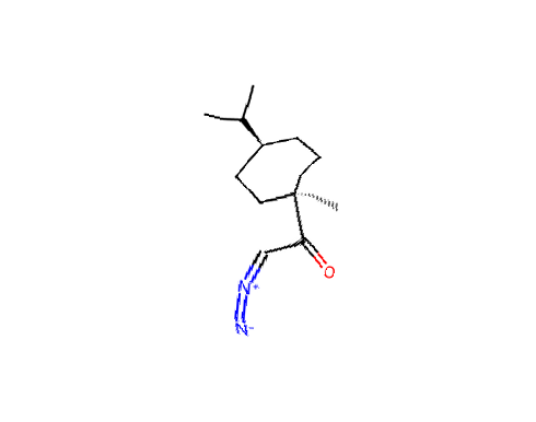 CC(C)[C@H]1CC[C@@](C)(C(=O)C=[N+]=[N-])CC1